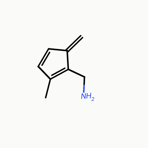 C=C1C=CC(C)=C1CN